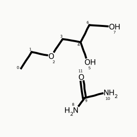 CCOCC(O)CO.NC(N)=O